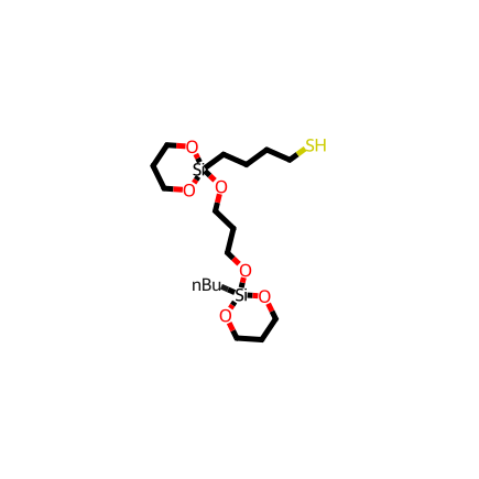 CCCC[Si]1(OCCCO[Si]2(CCCCS)OCCCO2)OCCCO1